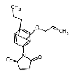 C=CCOC1c2ccc(cc2N2C(=O)C=CC2=O)C1CC=C